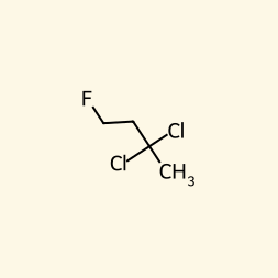 CC(Cl)(Cl)CCF